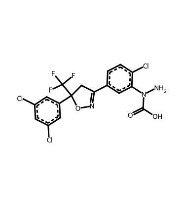 NN(C(=O)O)c1cc(C2=NOC(c3cc(Cl)cc(Cl)c3)(C(F)(F)F)C2)ccc1Cl